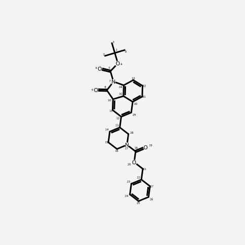 CC(C)(C)OC(=O)N1C(=O)c2cc(C3=CCCN(C(=O)OCc4ccccc4)C3)cc3cccc1c23